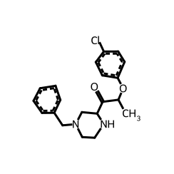 CC(Oc1ccc(Cl)cc1)C(=O)C1CN(Cc2ccccc2)CCN1